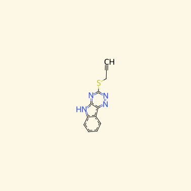 C#CCSc1nnc2c(n1)[nH]c1ccccc12